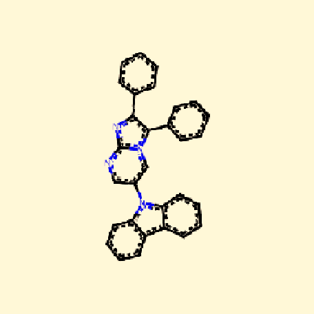 c1ccc(-c2nc3ncc(-n4c5ccccc5c5ccccc54)cn3c2-c2ccccc2)cc1